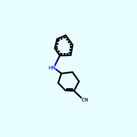 N#CC1=CCC(Nc2ccccc2)CC1